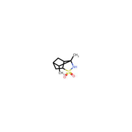 CC1C2CC3C(C2)S(=O)(=O)NC13C